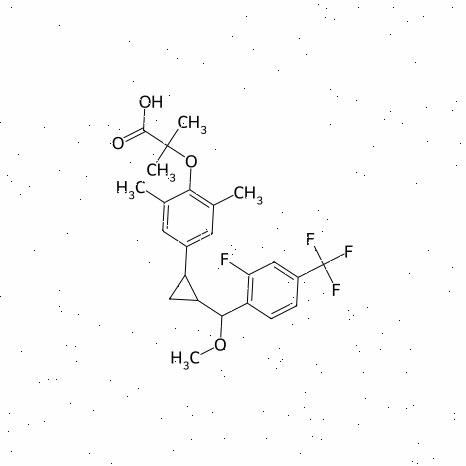 COC(c1ccc(C(F)(F)F)cc1F)C1CC1c1cc(C)c(OC(C)(C)C(=O)O)c(C)c1